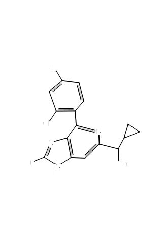 CCCC(c1cc2[nH]c(CC)nc2c(-c2ccc(Cl)cc2Cl)n1)C1CC1